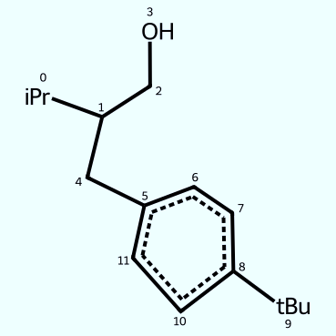 CC(C)C(CO)Cc1ccc(C(C)(C)C)cc1